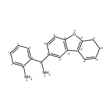 Nc1ccccc1C(N)c1ccc2oc3c(c2c1)C=CCC3